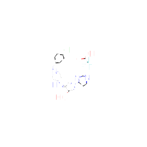 O=C(O)C(F)(F)F.O[C@@H]1CN(c2ccncn2)C[C@H]1NC1CCN(Cc2ccc(Cl)cc2)CC1